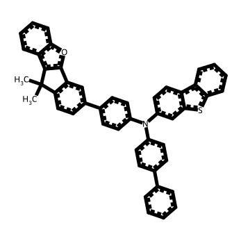 CC1(C)c2ccc(-c3ccc(N(c4ccc(-c5ccccc5)cc4)c4ccc5c(c4)sc4ccccc45)cc3)cc2-c2oc3ccccc3c21